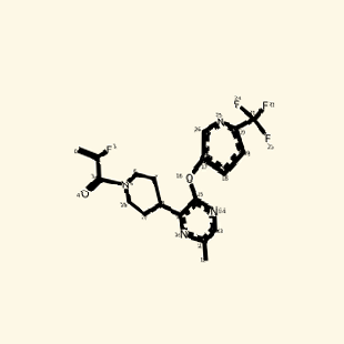 C=C(F)C(=O)N1CCC(c2nc(C)cnc2Oc2ccc(C(F)(F)F)nc2)CC1